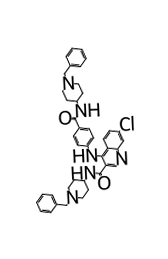 O=C(NC1CCN(Cc2ccccc2)CC1)c1ccc(Nc2c(C(=O)NC3CCN(Cc4ccccc4)CC3)cnc3cc(Cl)ccc23)cc1